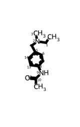 CCN(C)Cc1ccc(NC(C)=O)cc1